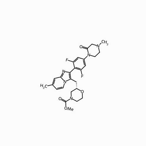 COC(=O)N1CCO[C@@H](Cc2c(-c3c(F)cc(N4CCN(C)CC4=O)cc3F)nc3cc(C)ccn23)C1